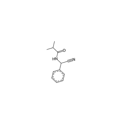 CC(C)C(=O)NC(C#N)c1ccccc1